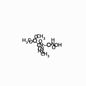 COc1cc(OC)cc(-c2cc3cnc(SC)nc3n(CCc3ccc(NC(=O)O)cc3)c2=O)c1